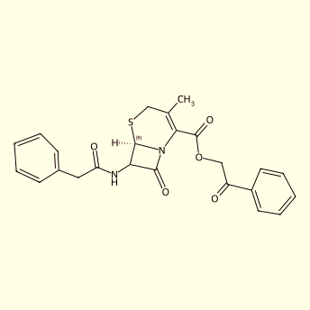 CC1=C(C(=O)OCC(=O)c2ccccc2)N2C(=O)C(NC(=O)Cc3ccccc3)[C@H]2SC1